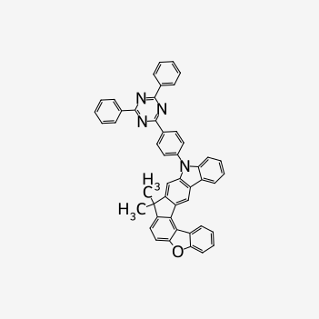 CC1(C)c2cc3c(cc2-c2c1ccc1oc4ccccc4c21)c1ccccc1n3-c1ccc(-c2nc(-c3ccccc3)nc(-c3ccccc3)n2)cc1